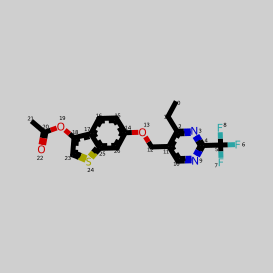 CCc1nc(C(F)(F)F)ncc1COc1ccc2c(OC(C)=O)csc2c1